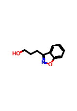 OCCCc1noc2ccccc12